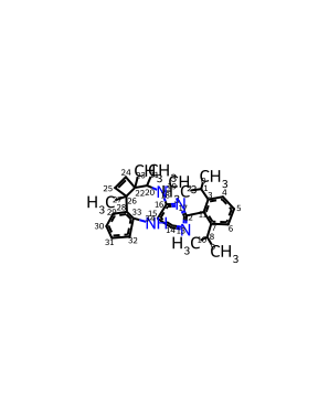 CC(C)c1cccc(C(C)C)c1-c1ncc2c(n1)N(C)C(C)C1(C)C=CC1(C)c1ccccc1N2